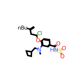 C=C(CCCC)CC(Cl)Oc1ccc(C(=O)N[SH](=O)=O)cc1N(C)CC1CCC1